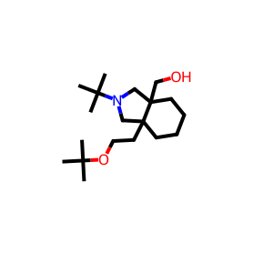 CC(C)(C)OCCC12CCCCC1(CO)CN(C(C)(C)C)C2